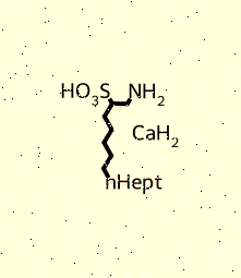 CCCCCCCCCCCCC(CN)S(=O)(=O)O.[CaH2]